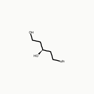 CCCCC[C@@H](O)CCO